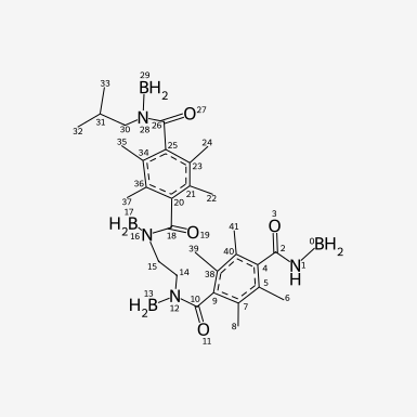 BNC(=O)c1c(C)c(C)c(C(=O)N(B)CCN(B)C(=O)c2c(C)c(C)c(C(=O)N(B)CC(C)C)c(C)c2C)c(C)c1C